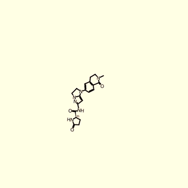 CN1CCc2cc(N3CCn4nc(NC(=O)[C@H]5CCC(=O)N5)cc43)ccc2C1=O